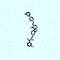 Cc1cccc(N2CCN(CCn3cnc4sc5c(c4c3=O)CCN(CCNC(=O)c3cccc(Cl)c3)C5)CC2)n1